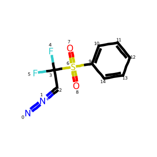 [N-]=[N+]=CC(F)(F)S(=O)(=O)c1ccccc1